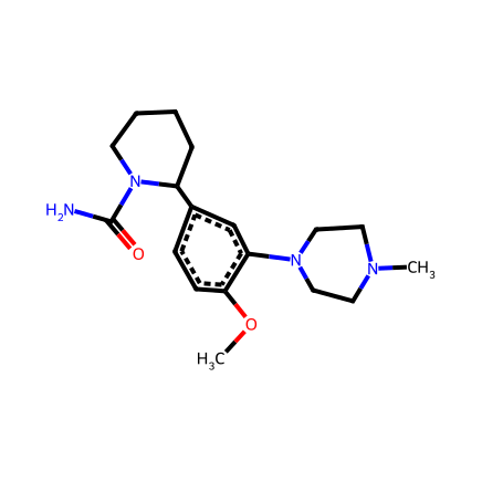 COc1ccc(C2CCCCN2C(N)=O)cc1N1CCN(C)CC1